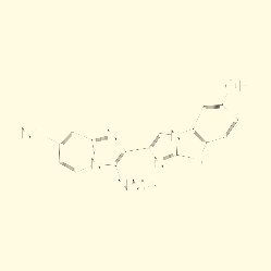 CNc1c(-c2cn3c(n2)sc2ccc(O)cc23)nc2cc(C#N)ccn12